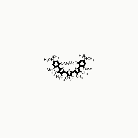 COc1cc(N(C)C)cc(OC)c1-c1sc(-c2sc(-c3sc(-c4c(OC)cc(N(C)C)cc4OC)c(C)c3C)c(C)c2C)c(C)c1C